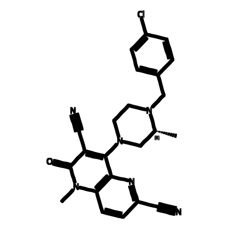 C[C@@H]1CN(c2c(C#N)c(=O)n(C)c3ccc(C#N)nc23)CCN1Cc1ccc(Cl)cc1